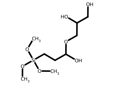 CO[Si](CCC(O)OCC(O)CO)(OC)OC